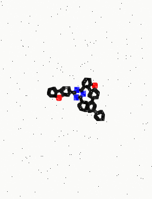 c1ccc(-c2cccc(-c3ccc4oc5cccc(-c6nc(-c7ccccc7)nc(-c7ccc8c(c7)oc7ccccc78)n6)c5c4c3)c2)cc1